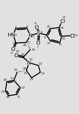 O=C1NC=CN(S(=O)(=O)c2ccc(Cl)c(Cl)c2)[C@@H]1CC(=O)N1CCC[C@@H]1Cc1ccccc1